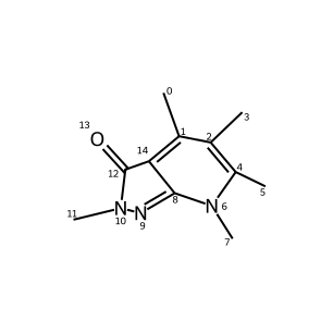 Cc1c(C)c(C)n(C)c2nn(C)c(=O)c1-2